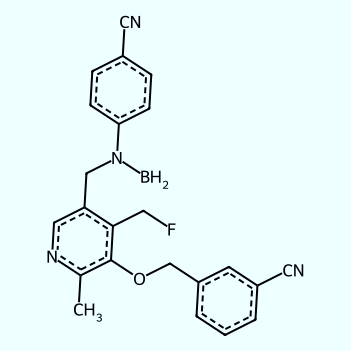 BN(Cc1cnc(C)c(OCc2cccc(C#N)c2)c1CF)c1ccc(C#N)cc1